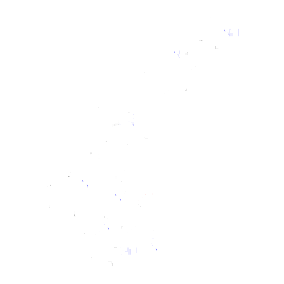 N=C/C(C(=O)Nc1cc2c(cc1N1CCOCC1)C(=O)N(CCC1CCN(CC3CNC3)CC1)C2)=C1/N=CC=CN1